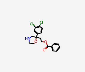 O=C(OCCC1(c2ccc(Cl)c(Cl)c2)CNCCO1)c1ccccc1